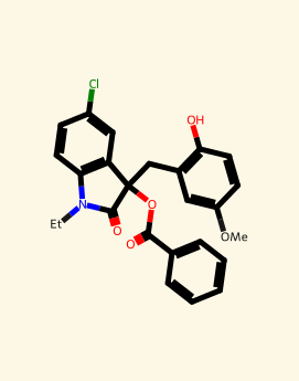 CCN1C(=O)C(Cc2cc(OC)ccc2O)(OC(=O)c2ccccc2)c2cc(Cl)ccc21